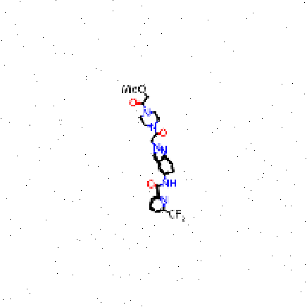 COCC(=O)N1CCN(C(=O)Cn2cc3cc(NC(=O)c4cccc(C(F)(F)F)n4)ccc3n2)CC1